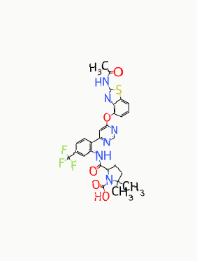 CC(=O)Nc1nc2c(Oc3cc(-c4ccc(C(F)(F)F)cc4NC(=O)C4CCC(C)(C)N4C(=O)O)ncn3)cccc2s1